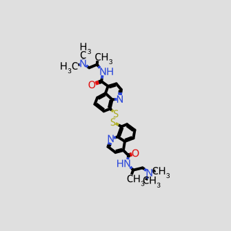 CC(CN(C)C)NC(=O)c1ccnc2c(SSc3cccc4c(C(=O)NC(C)CN(C)C)ccnc34)cccc12